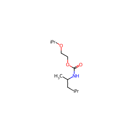 CC(C)CC(C)NC(=O)OCCOC(C)C